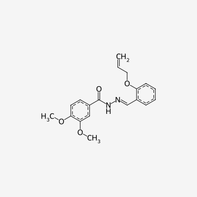 C=CCOc1ccccc1C=NNC(=O)c1ccc(OC)c(OC)c1